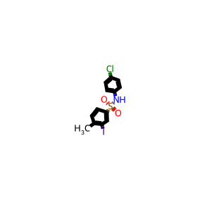 Cc1ccc(S(=O)(=O)Nc2ccc(Cl)cc2)cc1I